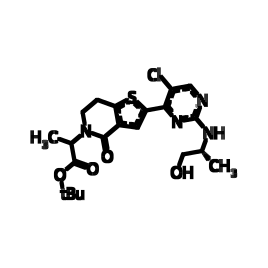 CC(C(=O)OC(C)(C)C)N1CCc2sc(-c3nc(N[C@@H](C)CO)ncc3Cl)cc2C1=O